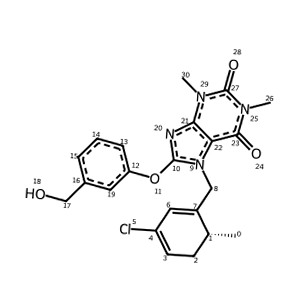 C[C@@H]1CC=C(Cl)C=C1Cn1c(Oc2cccc(CO)c2)nc2c1c(=O)n(C)c(=O)n2C